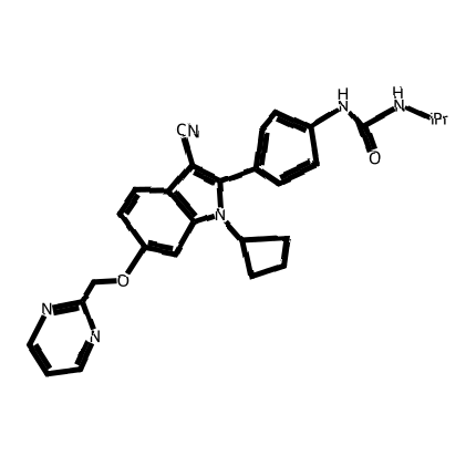 CC(C)NC(=O)Nc1ccc(-c2c(C#N)c3ccc(OCc4ncccn4)cc3n2C2CCC2)cc1